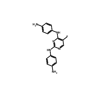 Nc1ccc(Nc2ncc(F)c(Nc3ccc(N)cc3)n2)cc1